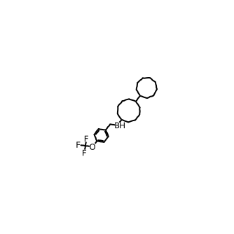 FC(F)(F)Oc1ccc(CBC2CCCCC(C3CCCCCCCC3)CCCC2)cc1